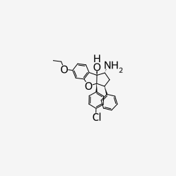 CCOc1ccc2c(c1)O[C@@]1(c3ccc(Cl)cc3)[C@H](c3ccccc3)C[C@@H](N)[C@@]21O